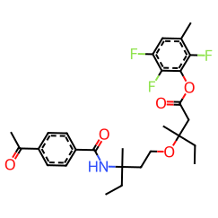 CCC(C)(CCOC(C)(CC)CC(=O)Oc1c(F)c(C)cc(F)c1F)NC(=O)c1ccc(C(C)=O)cc1